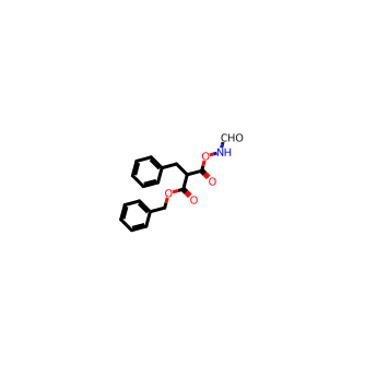 O=CNOC(=O)C(Cc1ccccc1)C(=O)OCc1ccccc1